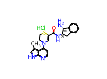 Cc1c[nH]c2nccc(N3C=C(C(=O)N[C@@H]4Cc5ccccc5[C@H]4N)SCC3)c12.Cl